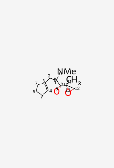 CN[C@@H](CC1=CCCC1)C(=O)C1(C)CO1